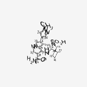 Cn1cc(-c2cc3c(NC4CN(C(=O)O)CC45CCC5)c(C(N)=O)cnn3c2)cn1